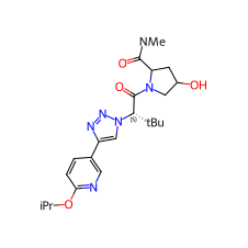 CNC(=O)C1CC(O)CN1C(=O)[C@@H](n1cc(-c2ccc(OC(C)C)nc2)nn1)C(C)(C)C